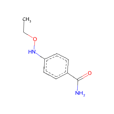 CCONc1ccc(C(N)=O)cc1